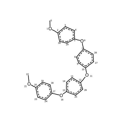 COc1ccc(Oc2ccc(Oc3ccc(Oc4ccc(OC)cc4)cc3)cc2)cc1